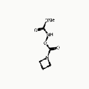 COC(=O)NOC(=O)N1CCC1